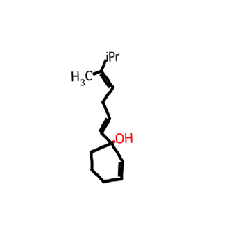 CC(=CCC=CC1(O)C=CCCC1)C(C)C